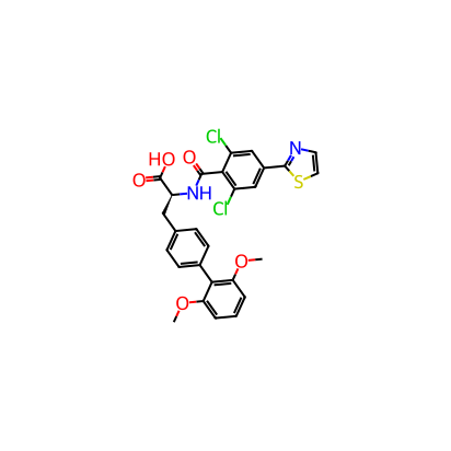 COc1cccc(OC)c1-c1ccc(C[C@H](NC(=O)c2c(Cl)cc(-c3nccs3)cc2Cl)C(=O)O)cc1